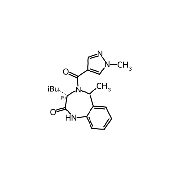 CCC(C)[C@H]1C(=O)Nc2ccccc2C(C)N1C(=O)c1cnn(C)c1